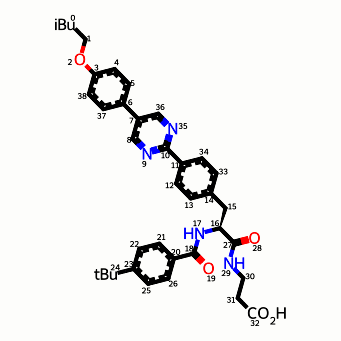 CCC(C)COc1ccc(-c2cnc(-c3ccc(C[C@H](NC(=O)c4ccc(C(C)(C)C)cc4)C(=O)NCCC(=O)O)cc3)nc2)cc1